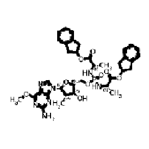 COc1nc(N)nc2c1ncn2[C@@H]1O[C@H](COP(=O)(N[C@@H](C)C(=O)OC2Cc3ccccc3C2)N[C@@H](C)C(=O)OC2Cc3ccccc3C2)[C@@H](O)[C@@H]1C